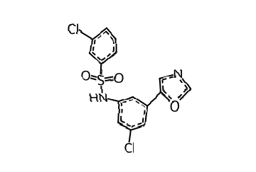 O=S(=O)(Nc1cc(Cl)cc(-c2cnco2)c1)c1cccc(Cl)c1